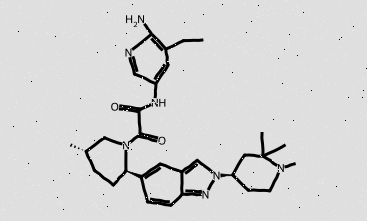 CCc1cc(NC(=O)C(=O)N2C[C@@H](C)CC[C@@H]2c2ccc3nn([C@@H]4CCN(C)C(C)(C)C4)cc3c2)cnc1N